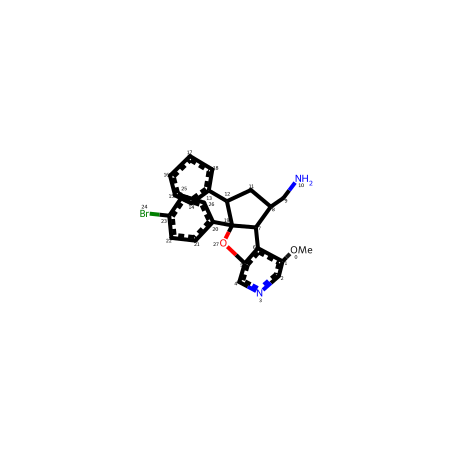 COc1cncc2c1C1C(CN)CC(c3ccccc3)C1(c1ccc(Br)cc1)O2